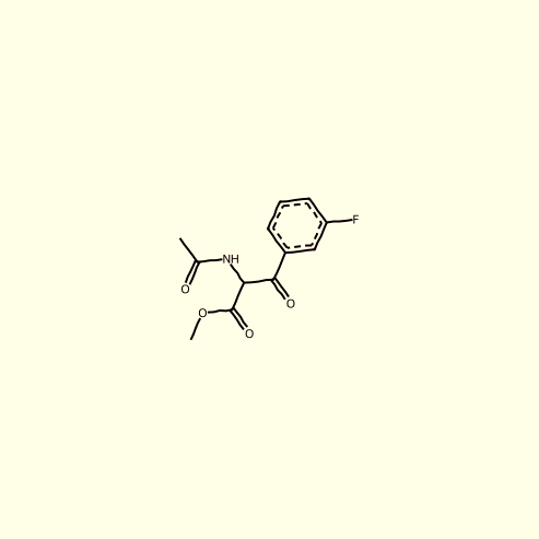 COC(=O)C(NC(C)=O)C(=O)c1cccc(F)c1